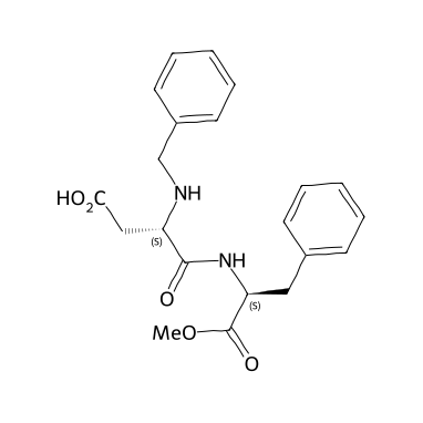 COC(=O)[C@H](Cc1ccccc1)NC(=O)[C@H](CC(=O)O)NCc1ccccc1